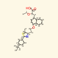 CCOC(Cc1ccc(OCCc2nc(-c3ccc(C(C)(C)C)cc3)sc2C)c2ccccc12)C(=O)O